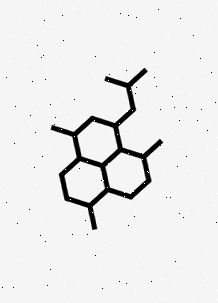 CC(C)CC1CC(C)C2CCC(C)C3CCC(C)C1C32